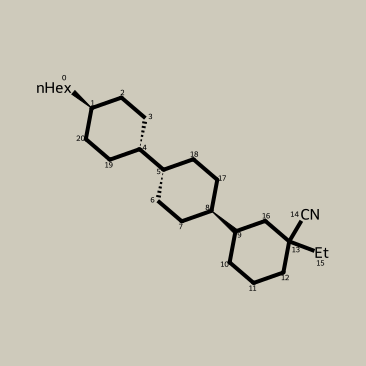 CCCCCC[C@H]1CC[C@H]([C@H]2CC[C@H](C3CCCC(C#N)(CC)C3)CC2)CC1